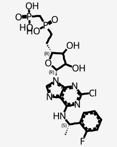 C[C@H](Nc1nc(Cl)nc2c1ncn2[C@@H]1O[C@H](CCP(=O)(O)CP(=O)(O)O)C(O)C1O)c1ccccc1F